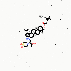 C=C(C)[C@@H]1CC[C@]2(NCC(C(C)O)N3CCS(=O)(=O)CC3)CC[C@]3(C)[C@H](CC[C@@H]4[C@@]5(C)CC[C@H](OC(=O)C[C@@H]6[C@H](C(=O)O)C6(C)C)C(C)(C)[C@@H]5CC[C@]43C)[C@@H]12